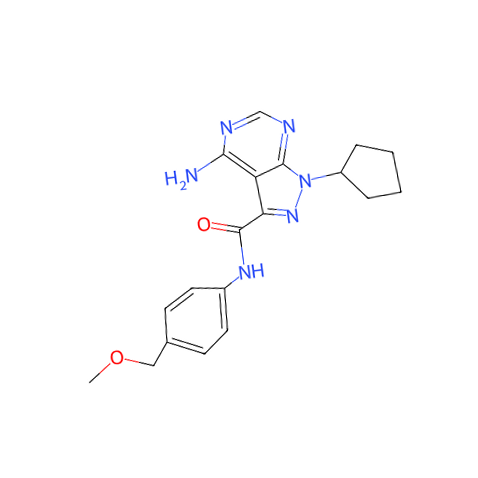 COCc1ccc(NC(=O)c2nn(C3CCCC3)c3ncnc(N)c23)cc1